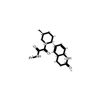 CC(C)NC(=O)C(=O)N1C[C@@H](C)CC[C@@H]1C1=CC2CCC(=O)NC2C=C1